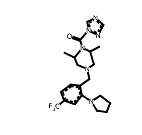 CC1CN(Cc2ccc(C(F)(F)F)cc2N2CCCC2)CC(C)N1C(=O)n1cncn1